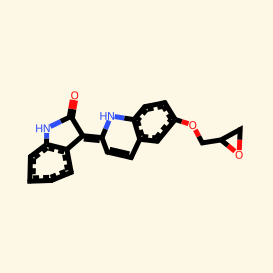 O=C1Nc2ccccc2C1=C1C=Cc2cc(OCC3CO3)ccc2N1